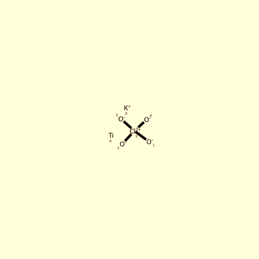 [K+].[O-][Cl+3]([O-])([O-])[O-].[Ti]